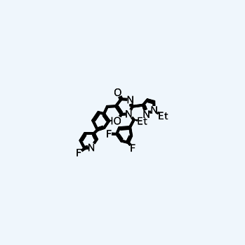 CC[C@@H](c1cc(F)cc(F)c1)n1c(-c2ccn(CC)n2)nc(=O)c(Cc2ccc(-c3ccc(F)nc3)cc2)c1O